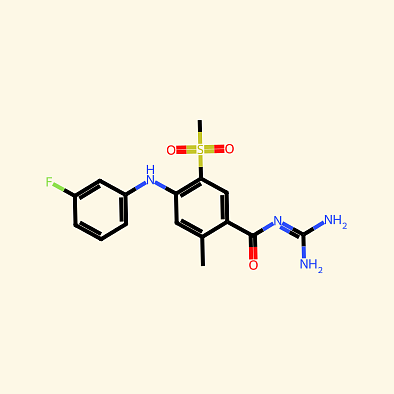 Cc1cc(Nc2cccc(F)c2)c(S(C)(=O)=O)cc1C(=O)N=C(N)N